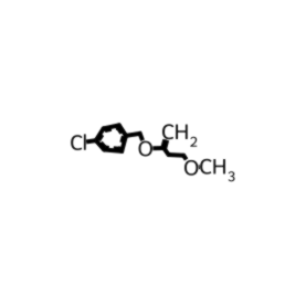 C=C(CCOC)OCc1ccc(Cl)cc1